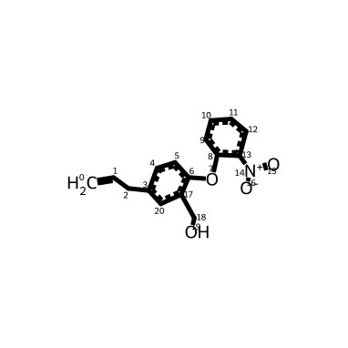 C=CCc1ccc(Oc2ccccc2[N+](=O)[O-])c(CO)c1